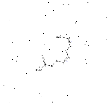 CCCC(C)/C=C\C/C=C\COC(=O)OCC(C)C